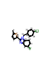 Cc1ccc(-c2nc3cc(F)ccc3n2Cc2ccc(Cl)cc2)s1